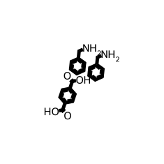 NCc1ccccc1.NCc1ccccc1.O=C(O)c1ccc(C(=O)O)cc1